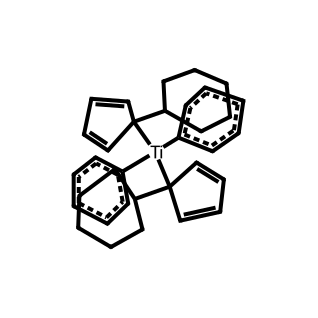 C1=C[C](C2CCCCC2)([Ti]([c]2ccccc2)([c]2ccccc2)[C]2(C3CCCCC3)C=CC=C2)C=C1